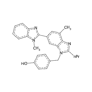 CCCc1nc2c(C)cc(-c3nc4ccccc4n3C)cc2n1Cc1ccc(O)cc1